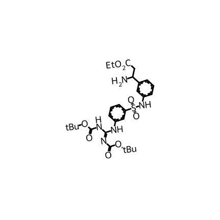 CCOC(=O)CC(N)c1cccc(NS(=O)(=O)c2cccc(NC(=NC(=O)OC(C)(C)C)NC(=O)OC(C)(C)C)c2)c1